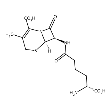 CC1=C(C(=O)O)N2C(=O)[C@@H](NC(=O)CCC[C@@H](N)C(=O)O)[C@H]2SC1